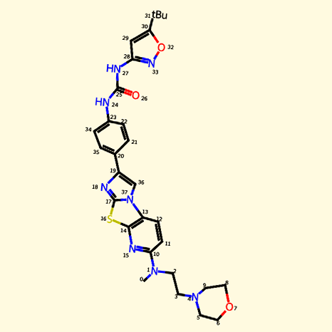 CN(CCN1CCOCC1)c1ccc2c(n1)sc1nc(-c3ccc(NC(=O)Nc4cc(C(C)(C)C)on4)cc3)cn12